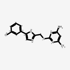 Nc1cc(C(F)(F)F)nc(SCc2ncc(-c3cccc(Cl)c3)o2)n1